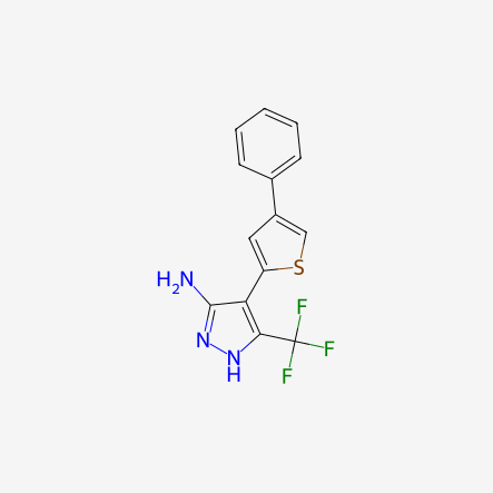 Nc1n[nH]c(C(F)(F)F)c1-c1cc(-c2ccccc2)cs1